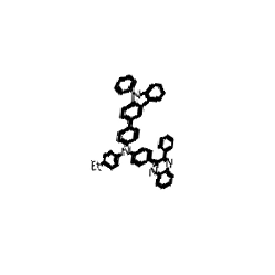 CCc1ccc(N(c2ccc(-c3ccc4c(c3)c3ccccc3n4-c3ccccc3)cc2)c2ccc(-c3nc4ccccc4nc3-c3ccccc3)cc2)cc1